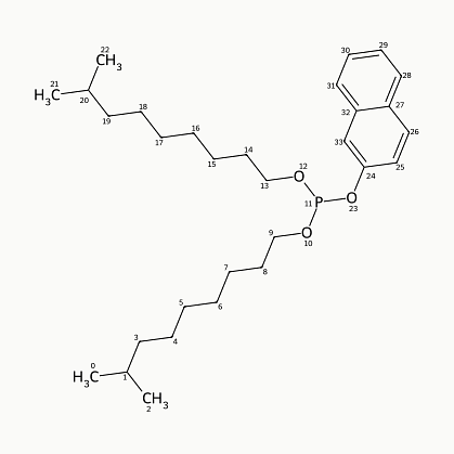 CC(C)CCCCCCCOP(OCCCCCCCC(C)C)Oc1ccc2ccccc2c1